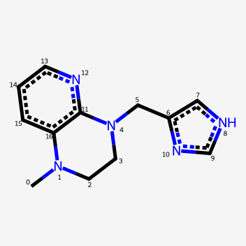 CN1CCN(Cc2c[nH]cn2)c2ncccc21